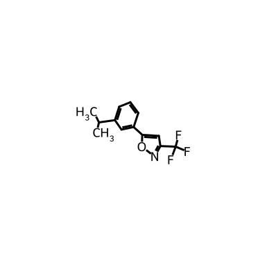 CC(C)c1cccc(-c2cc(C(F)(F)F)no2)c1